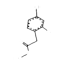 COC(=O)Cc1ccc(O)cc1O